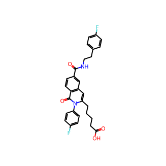 O=C(O)CCCCc1cc2cc(C(=O)NCCc3ccc(F)cc3)ccc2c(=O)n1-c1ccc(F)cc1